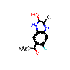 CCC1=Nc2cc(F)c(C(=O)OC)cc2NC1O